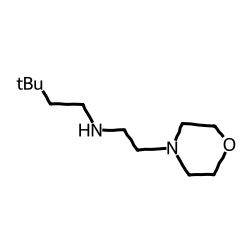 CC(C)(C)CCNCCN1CCOCC1